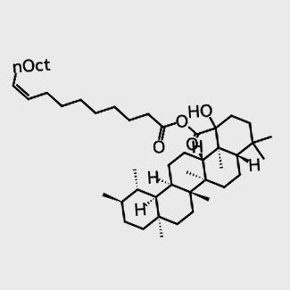 CCCCCCCC/C=C\CCCCCCCC(=O)OC(=O)C1(O)CCC(C)(C)[C@@H]2CC[C@]3(C)[C@H](CC[C@@H]4[C@@H]5[C@@H](C)[C@H](C)CC[C@]5(C)CC[C@]43C)[C@]21C